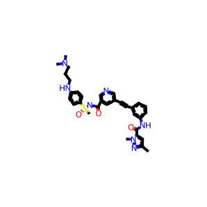 Cc1cc(C(=O)Nc2cccc(C#Cc3cncc(C(=O)N=S(C)(=O)c4ccc(NCCCN(C)C)cc4)c3)c2)n(C)n1